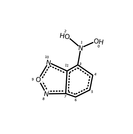 ON(O)c1cccc2nonc12